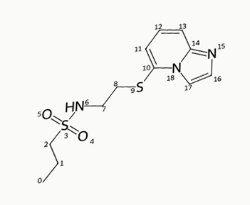 CCCS(=O)(=O)NCCSc1cccc2nccn12